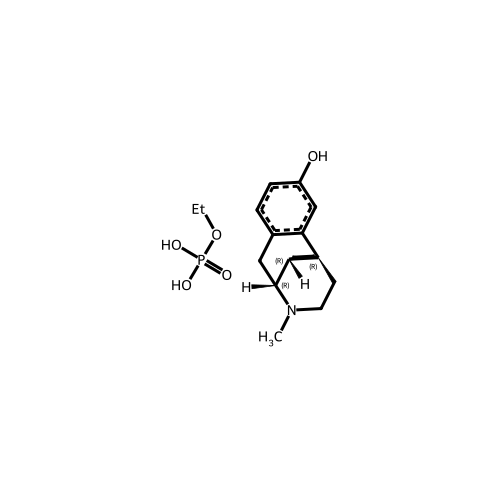 CCOP(=O)(O)O.CN1CC[C@]23CCCC[C@H]2[C@H]1Cc1ccc(O)cc13